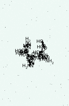 Nc1ncnc2c1ncn2[C@@H]1O[C@H](COP(O)(=S)OC2[C@@H](O)[C@@H](COP(O)(=S)OC3[C@@H](O)[C@@H](COP(=O)(O)OCCO)O[C@H]3n3cnc4c(N)ncnc43)O[C@H]2n2cnc3c(N)ncnc32)[C@H](O)C1OP(=O)(O)S